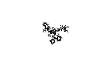 CSN(SC)C(=O)N/N=C/C1=C(C(=O)OC(c2ccccc2)c2ccccc2)N2C(=O)C(NC(=O)Cc3cccs3)[C@H]2SC1